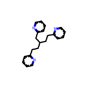 c1ccc(CCC(CCc2ccccn2)Cc2ccccn2)nc1